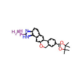 CC1(C)OB(c2ccc3c(c2)COc2cc4c(ccc5nc(PP)[nH]c54)cc2-3)OC1(C)C